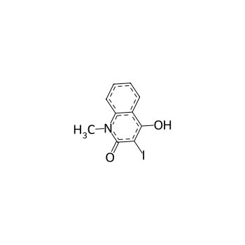 Cn1c(=O)c(I)c(O)c2ccccc21